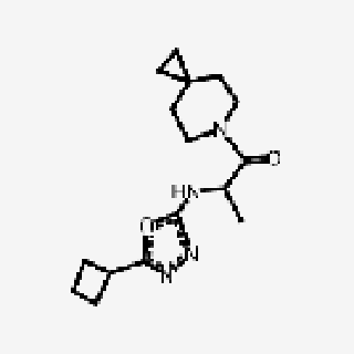 CC(Nc1nnc(C2CCC2)o1)C(=O)N1CCC2(CC1)CC2